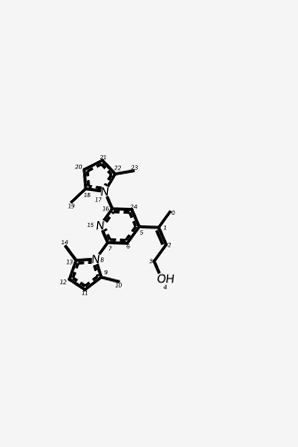 C/C(=C/CO)c1cc(-n2c(C)ccc2C)nc(-n2c(C)ccc2C)c1